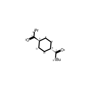 CC(C)C(=O)[C@H]1CC[C@H](C(=O)C(C)(C)C)CC1